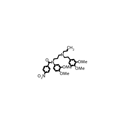 C=CCN(CCCN(C(=O)c1ccc([N+](=O)[O-])cc1)c1ccc(OC)c(OC)c1)CCc1ccc(OC)c(OC)c1